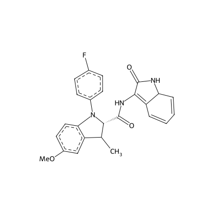 COc1ccc2c(c1)C(C)[C@@H](C(=O)NC1=C3C=CC=CC3NC1=O)N2c1ccc(F)cc1